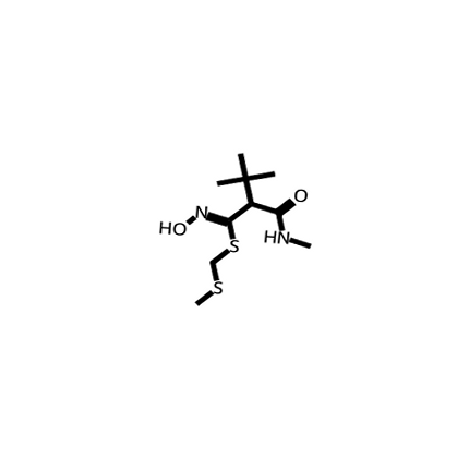 CNC(=O)C(C(=NO)SCSC)C(C)(C)C